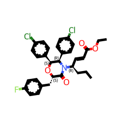 CCC[C@H](C=CC(=O)OCC)N1C(=O)[C@H](Cc2ccc(F)cc2)O[C@@H](c2ccc(Cl)cc2)[C@H]1c1ccc(Cl)cc1